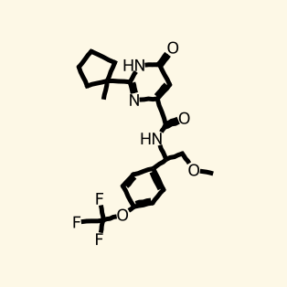 COCC(NC(=O)c1cc(=O)[nH]c(C2(C)CCCC2)n1)c1ccc(OC(F)(F)F)cc1